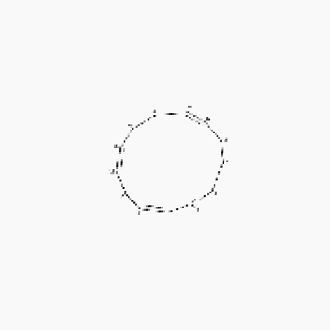 [C]1=CCCCCC=CCCC=CC1